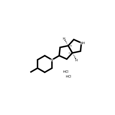 CC1CCN(C2C[C@H]3CNC[C@H]3C2)CC1.Cl.Cl